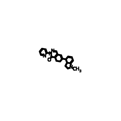 CN1CCC2C1=CC=CC2C1=Cc2cnn(-c3ccccn3)c(=O)c2CC1